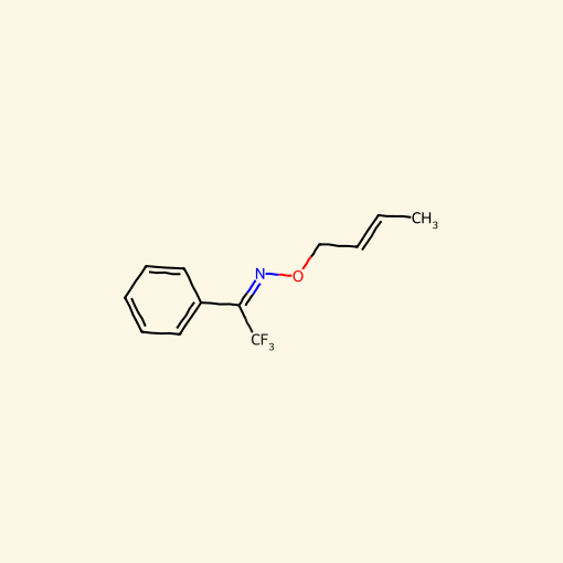 CC=CCON=C(c1ccccc1)C(F)(F)F